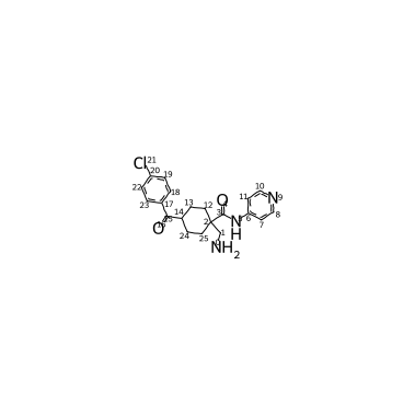 NCC1(C(=O)Nc2ccncc2)CCC(C(=O)c2ccc(Cl)cc2)CC1